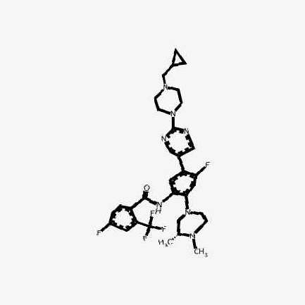 C[C@@H]1CN(c2cc(F)c(-c3cnc(N4CCN(CC5CC5)CC4)nc3)cc2NC(=O)c2ccc(F)cc2C(F)(F)F)CCN1C